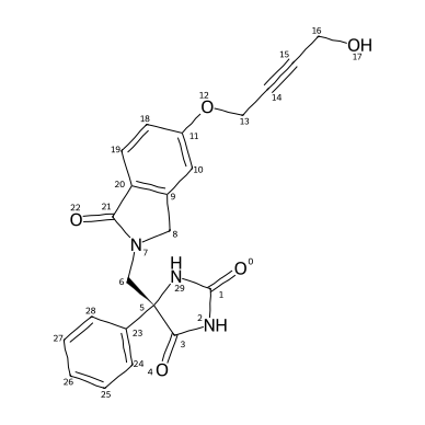 O=C1NC(=O)[C@](CN2Cc3cc(OCC#CCO)ccc3C2=O)(c2ccccc2)N1